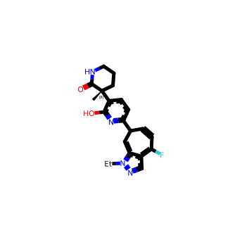 CCn1ncc2c1=CC(c1ccc([C@@]3(C)CCCNC3=O)c(O)n1)C#CC=2F